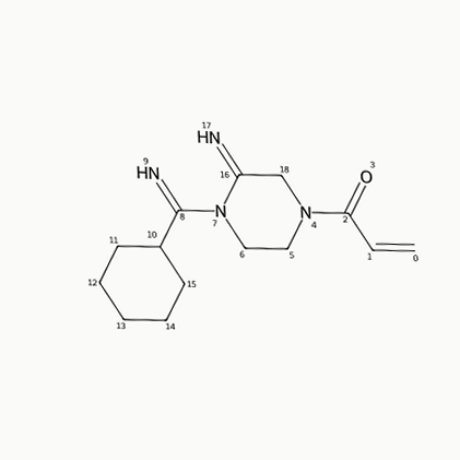 C=CC(=O)N1CCN(C(=N)C2CCCCC2)C(=N)C1